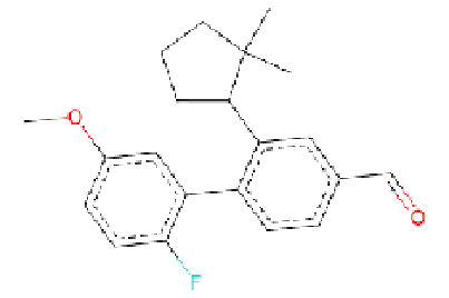 COc1ccc(F)c(-c2ccc(C=O)cc2C2CCCC2(C)C)c1